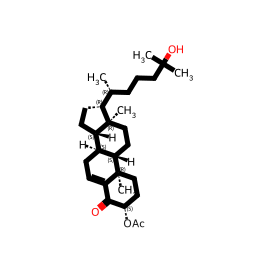 CC(=O)O[C@H]1CC[C@@]2(C)C(=CC[C@H]3[C@@H]4CC[C@H]([C@H](C)CCCC(C)(C)O)[C@@]4(C)CC[C@@H]32)C1=O